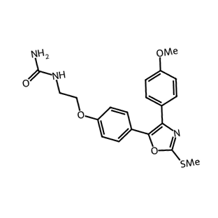 COc1ccc(-c2nc(SC)oc2-c2ccc(OCCNC(N)=O)cc2)cc1